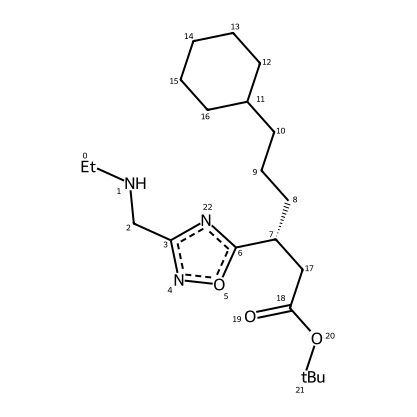 CCNCc1noc([C@H](CCCC2CCCCC2)CC(=O)OC(C)(C)C)n1